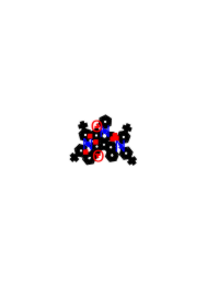 Cc1cc(C(C)(C)C)ccc1N(c1ccc(C(C)(C)C)cc1)c1cc2c(c3ccccc13)-c1c(cc(N(c3ccc(C(C)(C)C)cc3)c3ccc(C(C)(C)C)cc3)c3c1oc1ccccc13)C21c2ccccc2N2c3ccccc3Oc3cccc1c32